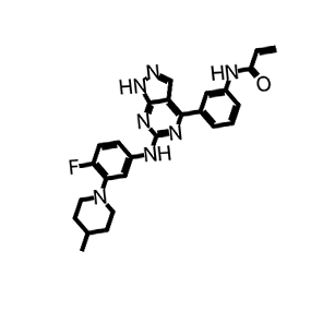 C=CC(=O)Nc1cccc(-c2nc(Nc3ccc(F)c(N4CCC(C)CC4)c3)nc3[nH]ncc23)c1